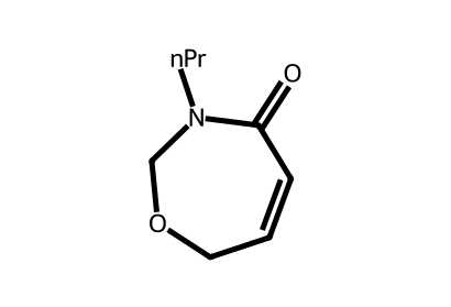 CCCN1COCC=CC1=O